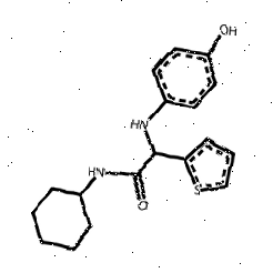 O=C(NC1CCCCC1)C(Nc1ccc(O)cc1)c1cccs1